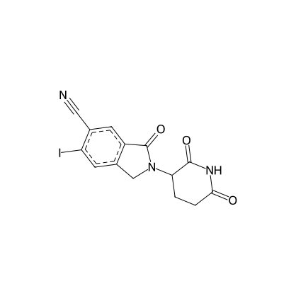 N#Cc1cc2c(cc1I)CN(C1CCC(=O)NC1=O)C2=O